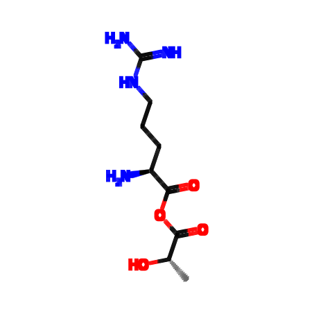 C[C@H](O)C(=O)OC(=O)[C@@H](N)CCCNC(=N)N